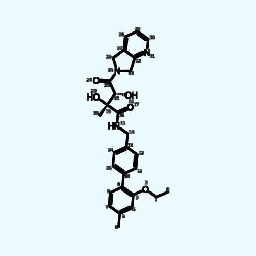 CCOc1cc(C)ccc1-c1ccc(CNC(=O)[C@](C)(O)[C@@H](O)C(=O)N2Cc3cccnc3C2)cc1